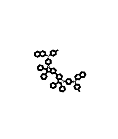 Cc1ccc(N(c2ccc(-n3c(-c4ccccc4)c(-c4ccccc4)c4cc(-c5ccc6c(c5)c(-c5ccccc5)c(-c5ccccc5)n6-c5ccc(N(c6ccc(C)cc6)c6ccc7ccccc7c6)cc5)ccc43)cc2)c2ccc3ccccc3c2)cc1